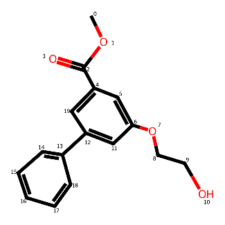 COC(=O)c1cc(OCCO)cc(-c2ccccc2)c1